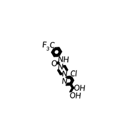 O=C(Nc1ccc(C(F)(F)F)cc1)N1CCN(c2ncc(C(O)CO)cc2Cl)CC1